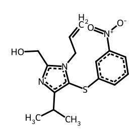 C=CCn1c(CO)nc(C(C)C)c1Sc1cccc([N+](=O)[O-])c1